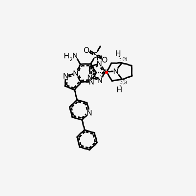 CS(=O)(=O)c1c([C@@H]2C[C@H]3CC[C@@H](C2)N3c2nnc[nH]2)nc2c(-c3ccc(-c4ccccc4)nc3)cnn2c1N